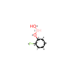 OBOc1ccccc1F